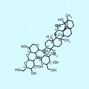 CC1(C)C2CC[C@]3(C)C(C[C@@H](O)C4=C5C6(CCC(C)(OC6=O)[C@@]5(C)O)CCC43C)[C@@]2(C)CC[C@@H]1OC1OC[C@H](O)[C@H](OC2O[C@H](CO)C(O)[C@H](O)C2O[C@@H]2OC(CO)[C@@H](O)C(O)[C@H]2O)C1O